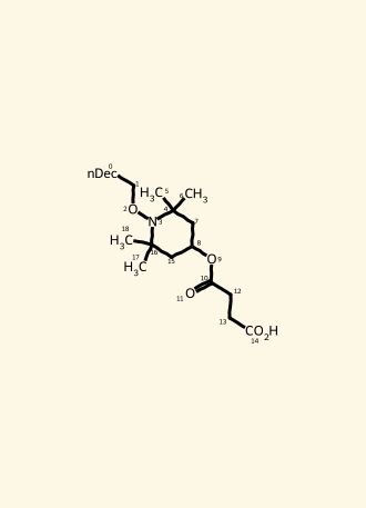 CCCCCCCCCCCON1C(C)(C)CC(OC(=O)CCC(=O)O)CC1(C)C